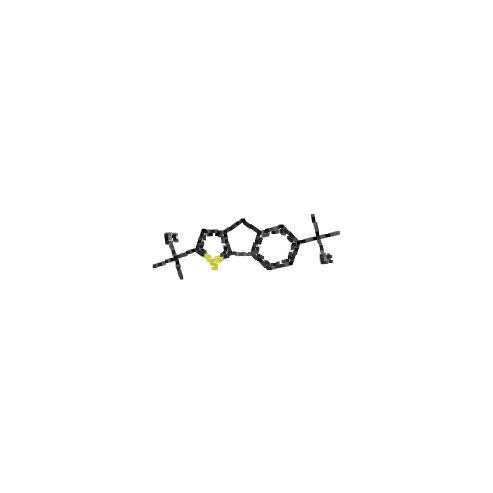 CCC(C)(C)c1ccc2c(c1)Cc1cc(C(C)(C)CC)sc1-2